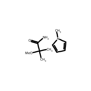 COC(C)(C)C(N)=O.Cn1cccc1